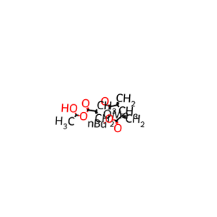 C=C(C)C(=O)OC.C=C(C)C(=O)OC(C)O.C=CC(=O)OCCCC